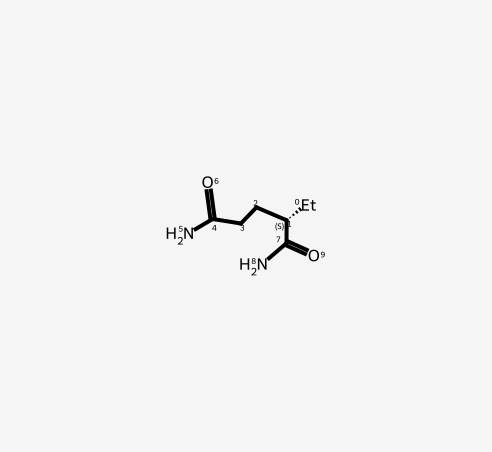 CC[C@@H](CCC(N)=O)C(N)=O